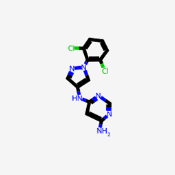 Nc1cc(Nc2cnn(-c3c(Cl)cccc3Cl)c2)ncn1